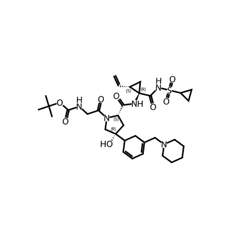 C=C[C@@H]1C[C@]1(NC(=O)[C@@H]1C[C@@](O)(C2C=CC=C(CN3CCCCC3)C2)CN1C(=O)CNC(=O)OC(C)(C)C)C(=O)NS(=O)(=O)C1CC1